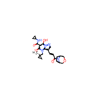 CC1(Cn2c(=O)c(C(=O)NC3CC3)c(O)n3ncc(C=CC(=O)N4C5CCC4COC5)c23)CC1